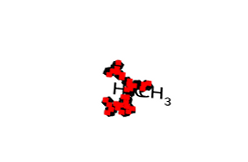 CC1(C)c2ccccc2-c2ccc(N(c3ccc(-c4ccc(N(c5ccccc5)c5ccccc5)cc4)cc3)c3ccc(-c4ccc(N(c5ccc(N(c6ccccc6)c6ccccc6)cc5)c5cccc6ccccc56)cc4)cc3)cc21